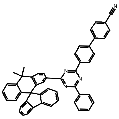 CC1(C)c2ccccc2C2(c3ccccc3-c3ccccc32)c2cc(-c3nc(-c4ccccc4)nc(-c4ccc(-c5ccc(C#N)cc5)cc4)n3)ccc21